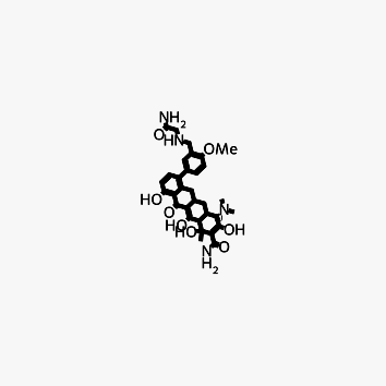 COc1ccc(-c2ccc(O)c3c2CC2CC4C(C(O)=C2C3=O)C(C)(O)C(C(N)=O)=C(O)[C@H]4N(C)C)cc1CNCC(N)=O